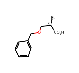 CC[C@H](COCc1ccccc1)C(=O)O